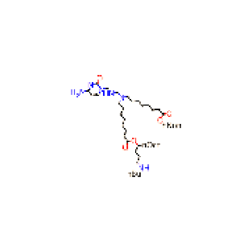 CCCCCCCCCOC(=O)CCCCCCCN(CCCCCCCC(=O)OC(CCCCCCCC)CCCNCCCC)CNCn1ccc(N)nc1=O